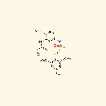 COc1cc(OC)c(C=CS(=O)(=O)Nc2ccc(OC)c(NC(=O)CCl)c2)c(OC)c1